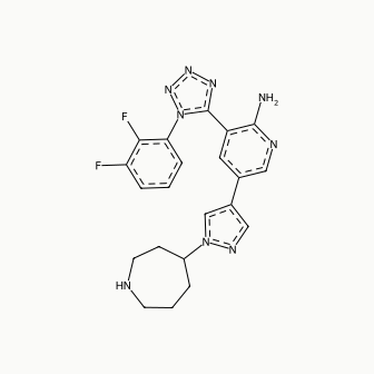 Nc1ncc(-c2cnn(C3CCCNCC3)c2)cc1-c1nnnn1-c1cccc(F)c1F